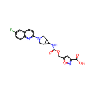 O=C(NC1C2CN(c3ccc4cc(F)ccc4n3)CC21)OCc1cc(C(=O)O)no1